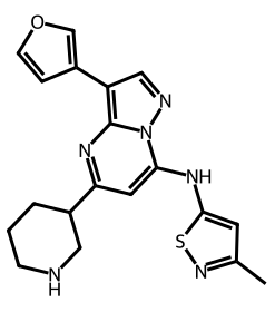 Cc1cc(Nc2cc(C3CCCNC3)nc3c(-c4ccoc4)cnn23)sn1